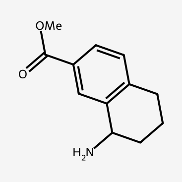 COC(=O)c1ccc2c(c1)C(N)CCC2